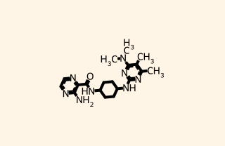 Cc1nc(NC2CCC(NC(=O)c3nccnc3N)CC2)nc(N(C)C)c1C